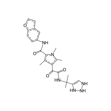 Cc1c(C(=O)C(=O)NC(C)(C)C2=CNNN2)c(C)n(C)c1C(=O)Nc1ccc2occc2c1